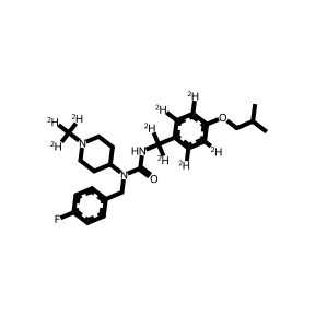 [2H]c1c([2H])c(C([2H])([2H])NC(=O)N(Cc2ccc(F)cc2)C2CCN(C([2H])([2H])[2H])CC2)c([2H])c([2H])c1OCC(C)C